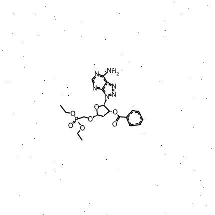 CCOP(=O)(CO[C@@H]1C[C@@H](OC(=O)c2ccccc2)[C@H](n2nnc3c(N)ncnc32)O1)OCC